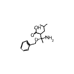 CC(C)CC(C(=O)O)C(C)(N)OCc1ccccc1